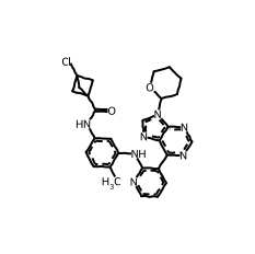 Cc1ccc(NC(=O)C23CC(Cl)(C2)C3)cc1Nc1ncccc1-c1ncnc2c1ncn2C1CCCCO1